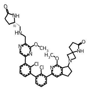 COc1nc(-c2cccc(-c3cccc(-c4cc5c(c(OC)n4)C(N4CC6(CCC(=O)N6)C4)CC5)c3Cl)c2Cl)cnc1CNC[C@@H]1CCC(=O)N1